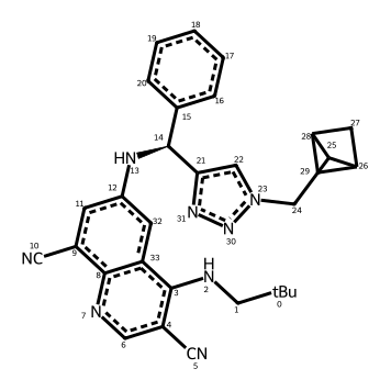 CC(C)(C)CNc1c(C#N)cnc2c(C#N)cc(N[C@@H](c3ccccc3)c3cn(CC4C5CC4C5)nn3)cc12